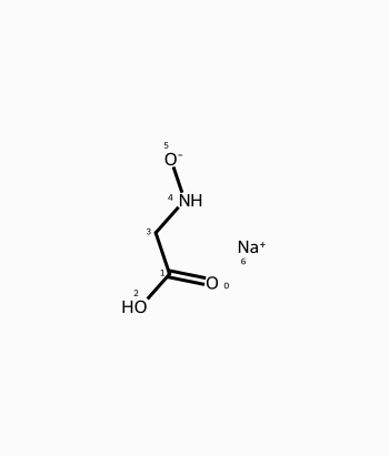 O=C(O)CN[O-].[Na+]